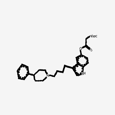 CCCCCCCCCCCC(=O)Oc1ccc2[nH]cc(CCCCN3CCC(c4ccccc4)CC3)c2c1